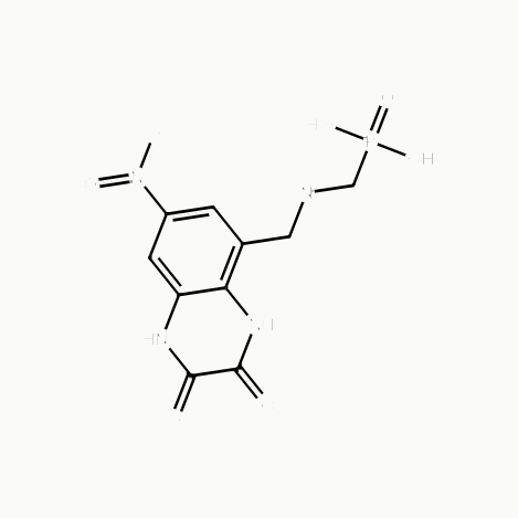 O=c1[nH]c2cc([N+](=O)[O-])cc(CNCP(=O)(O)O)c2[nH]c1=O